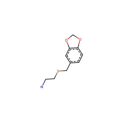 [N]CCSCc1ccc2c(c1)OCO2